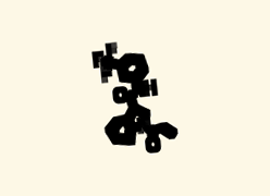 C=CC(=O)N1CC(C(=O)Nc2cccc(C(F)(F)F)c2)c2ccccc21